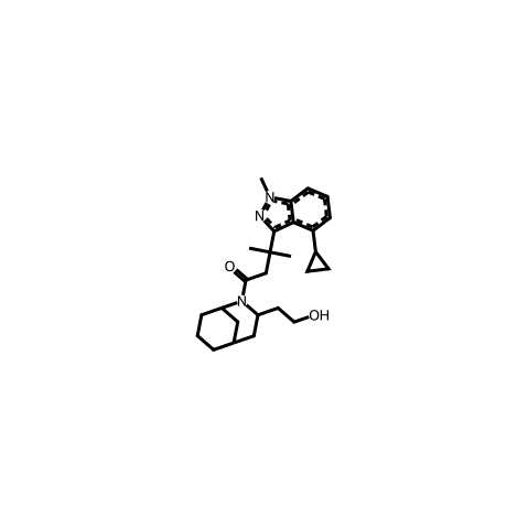 Cn1nc(C(C)(C)CC(=O)N2C(CCO)CC3CCCC2C3)c2c(C3CC3)cccc21